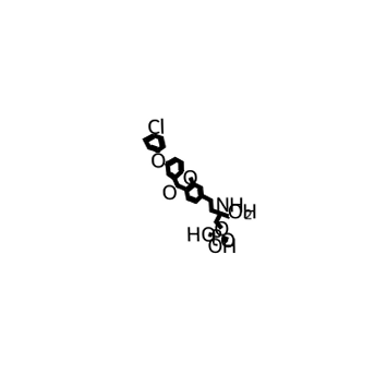 NC(CO)(CCc1ccc2c(=O)c3cc(Oc4ccc(Cl)cc4)ccc3oc2c1)COP(=O)(O)O